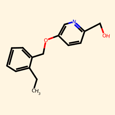 CCc1ccccc1COc1ccc(CO)nc1